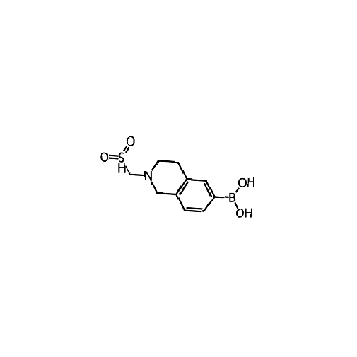 O=[SH](=O)CN1CCc2cc(B(O)O)ccc2C1